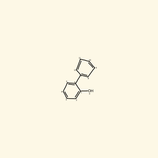 Oc1c[c]ccc1-c1ccccc1